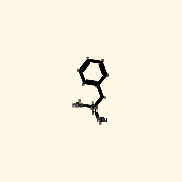 CCC[CH2][SnH]([CH2]CCC)[CH2]c1ccccc1